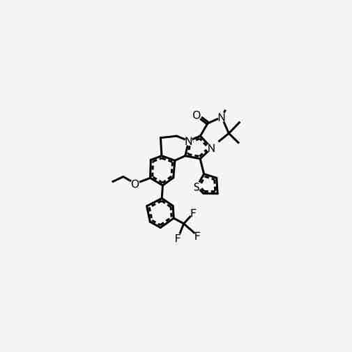 CCOc1cc2c(cc1-c1cccc(C(F)(F)F)c1)-c1c(-c3cccs3)nc(C(=O)N(C)C(C)(C)C)n1CC2